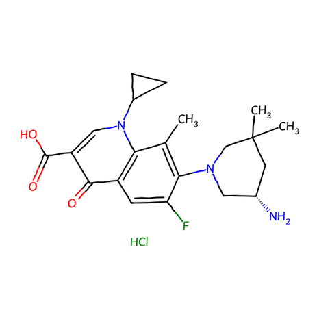 Cc1c(N2C[C@@H](N)CC(C)(C)C2)c(F)cc2c(=O)c(C(=O)O)cn(C3CC3)c12.Cl